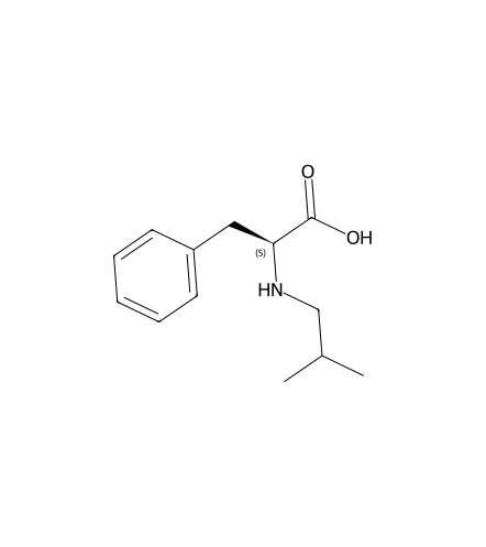 CC(C)CN[C@@H](Cc1ccccc1)C(=O)O